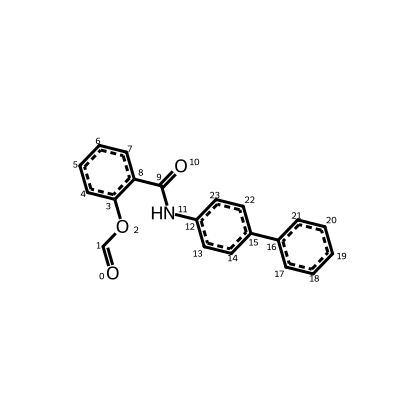 O=COc1ccccc1C(=O)Nc1ccc(-c2ccccc2)cc1